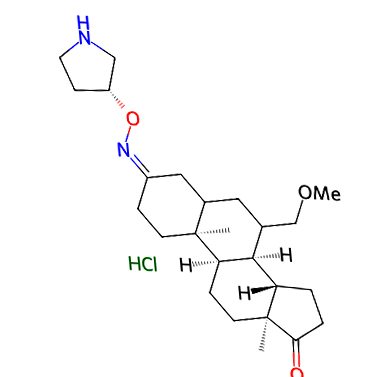 COCC1CC2CC(=NO[C@@H]3CCNC3)CC[C@]2(C)[C@@H]2CC[C@]3(C)C(=O)CC[C@H]3[C@H]12.Cl